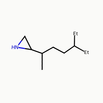 CCC(CC)CCC(C)C1CN1